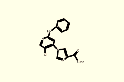 COC(=O)c1cn(-c2cc(Nc3ccccc3)ncc2Cl)cn1